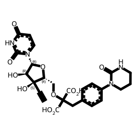 C#C[C@@]1(O)[C@@H](COC(Cc2ccc(N3CCCNC3=O)cc2)(C(=O)O)C(=O)O)O[C@@H](n2ccc(=O)[nH]c2=O)[C@@H]1O